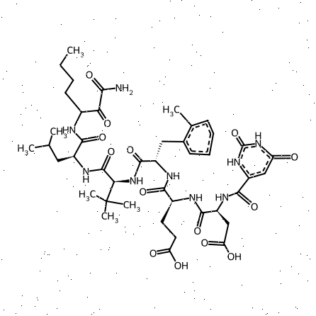 CCCCC(NC(=O)[C@H](CC(C)C)NC(=O)[C@@H](NC(=O)[C@H](Cc1ccccc1C)NC(=O)[C@H](CCC(=O)O)NC(=O)[C@H](CC(=O)O)NC(=O)c1cc(=O)[nH]c(=O)[nH]1)C(C)(C)C)C(=O)C(N)=O